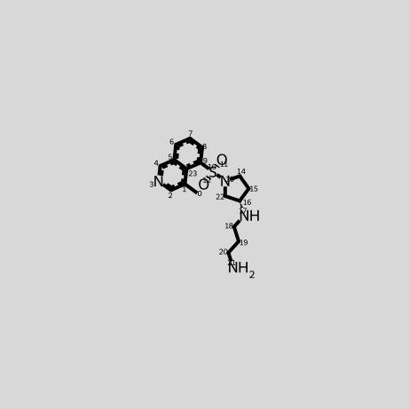 Cc1cncc2cccc(S(=O)(=O)N3CC[C@H](NCCCN)C3)c12